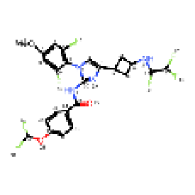 COc1cc(F)c(-n2cc(C3CC(NC(F)C(F)F)C3)nc2NC(=O)c2ccc(OC(F)F)cc2)c(F)c1